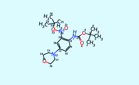 CC(C)(C)OC(=O)Nc1ccc(N2CCOCC2)cc1[N+](=O)OC(C)(C)C